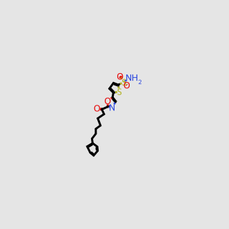 NS(=O)(=O)c1ccc(-c2cnc(C(=O)CCCCCCc3ccccc3)o2)s1